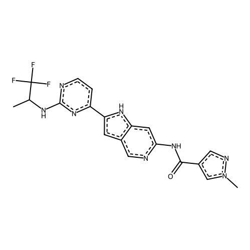 CC(Nc1nccc(-c2cc3cnc(NC(=O)c4cnn(C)c4)cc3[nH]2)n1)C(F)(F)F